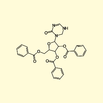 O=C(OCC1OC(N2CNC=NC2=O)C(OC(=O)c2ccccc2)C1OC(=O)c1ccccc1)c1ccccc1